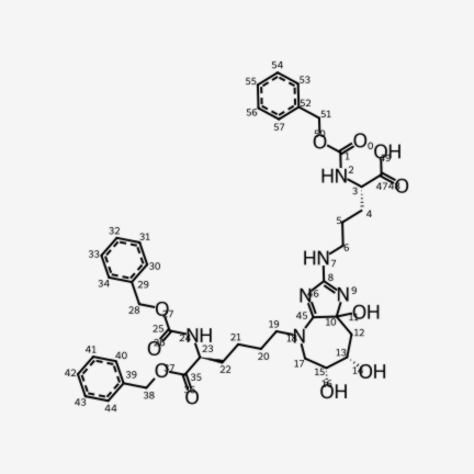 O=C(N[C@@H](CCCNC1=NC2(O)C[C@H](O)[C@H](O)CN(CCCC[C@H](NC(=O)OCc3ccccc3)C(=O)OCc3ccccc3)C2=N1)C(=O)O)OCc1ccccc1